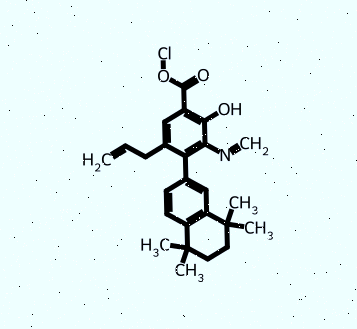 C=CCc1cc(C(=O)OCl)c(O)c(N=C)c1-c1ccc2c(c1)C(C)(C)CCC2(C)C